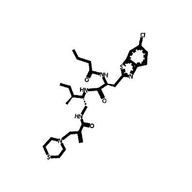 C=C(CN1CCSCC1)C(=O)NC[C@@H](NC(=O)[C@H](Cc1nc2ccc(Cl)cc2s1)NC(=O)CCC)[C@@H](C)CC